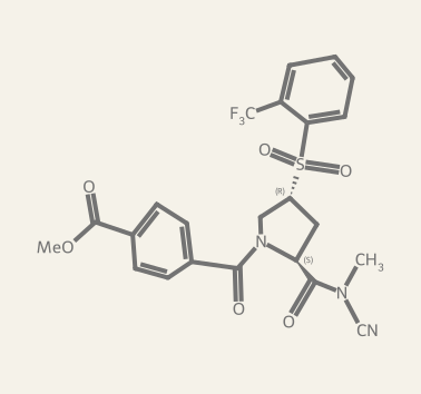 COC(=O)c1ccc(C(=O)N2C[C@H](S(=O)(=O)c3ccccc3C(F)(F)F)C[C@H]2C(=O)N(C)C#N)cc1